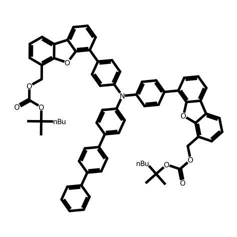 CCCCC(C)(C)OC(=O)OCc1cccc2c1oc1c(-c3ccc(N(c4ccc(-c5ccc(-c6ccccc6)cc5)cc4)c4ccc(-c5cccc6c5oc5c(COC(=O)OC(C)(C)CCCC)cccc56)cc4)cc3)cccc12